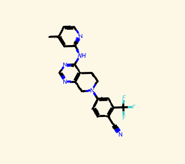 Cc1ccnc(Nc2ncnc3c2CCN(c2ccc(C#N)c(C(F)(F)F)c2)C3)c1